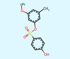 CCCOc1cc(C)cc(OS(=O)(=O)c2ccc(O)cc2)c1